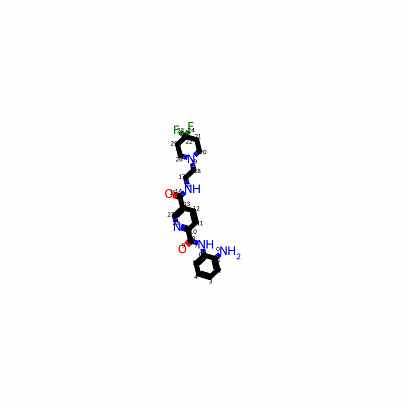 Nc1ccccc1NC(=O)c1ccc(C(=O)NCCN2CCC(F)(F)CC2)cn1